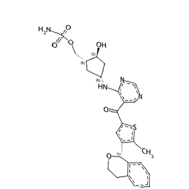 Cc1sc(C(=O)c2cncnc2N[C@@H]2C[C@H](COS(N)(=O)=O)[C@@H](O)C2)cc1[C@H]1OCCc2ccccc21